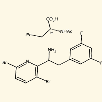 CC(=O)N[C@H](CC(C)C)C(=O)O.NC(Cc1cc(F)cc(F)c1)c1nc(Br)ccc1Br